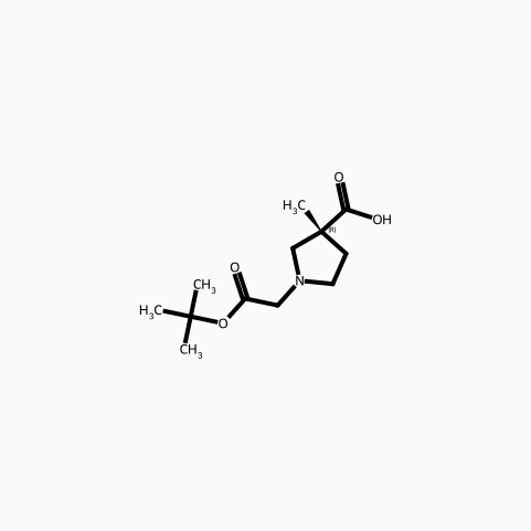 CC(C)(C)OC(=O)CN1CC[C@@](C)(C(=O)O)C1